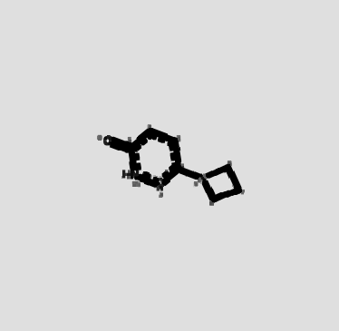 O=c1ccc(N2CCC2)n[nH]1